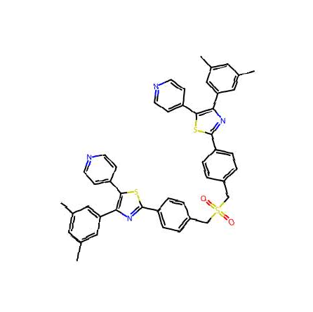 Cc1cc(C)cc(-c2nc(-c3ccc(CS(=O)(=O)Cc4ccc(-c5nc(-c6cc(C)cc(C)c6)c(-c6ccncc6)s5)cc4)cc3)sc2-c2ccncc2)c1